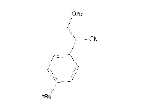 CC(=O)OCC(C#N)c1ccc(C(C)(C)C)cc1